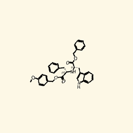 COc1ccc(COC(=O)[C@H](Cc2ccccc2)N[C@@H](Cc2c[nH]c3ccccc23)C(=O)OCc2ccccc2)cc1